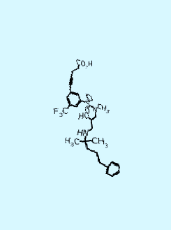 CN(CC(O)CNC(C)(C)CCCc1ccccc1)S(=O)(=O)c1cc(C#CCCC(=O)O)cc(C(F)(F)F)c1